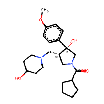 COc1ccc([C@@]2(O)CN(C(=O)C3CCCC3)C[C@@H]2CN2CCC(O)CC2)cc1